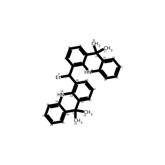 CCC(c1cccc2c1Nc1ccccc1C2(C)C)c1cccc2c1Nc1ccccc1C2(C)C